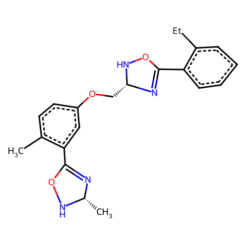 CCc1ccccc1C1=N[C@H](COc2ccc(C)c(C3=N[C@H](C)NO3)c2)NO1